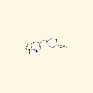 COC1CCN(Cc2cnc3[nH]ccc3c2)CC1